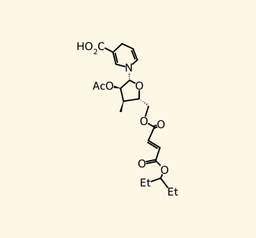 CCC(CC)OC(=O)/C=C/C(=O)OC[C@H]1O[C@@H](N2C=CCC(C(=O)O)=C2)[C@H](OC(C)=O)[C@@H]1C